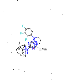 COc1cc(N2C[C@H]3CC[C@@H](C2)[C@H]3Nc2nc3n(n2)CCCN3c2ccc(F)c(F)c2F)cnn1